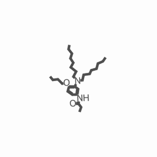 CCCCCCCCN(CCCCCCCC)c1cc(NC(=O)CC)ccc1OCCCC